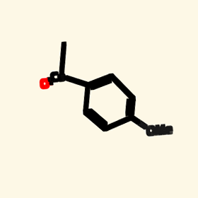 COc1cc[c]([Co]([CH3])=[O])cc1